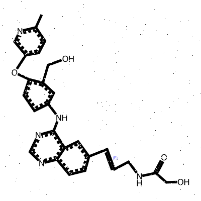 Cc1ccc(Oc2ccc(Nc3ncnc4ccc(/C=C/CNC(=O)CO)cc34)cc2CO)cn1